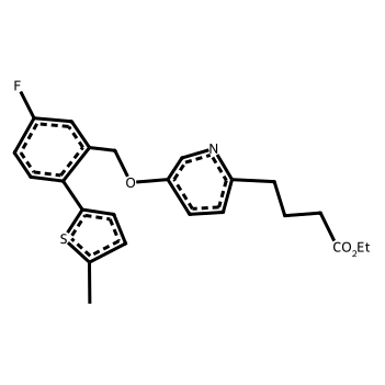 CCOC(=O)CCCc1ccc(OCc2cc(F)ccc2-c2ccc(C)s2)cn1